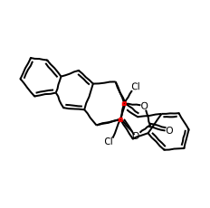 O=C1OC2(Cl)C3c4cc5ccccc5cc4C(c4cc5ccccc5cc43)C2(Cl)O1